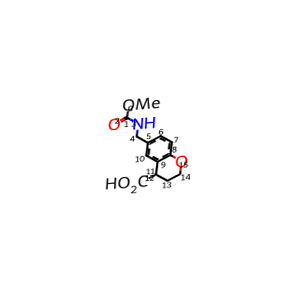 COC(=O)NCc1ccc2c(c1)C(C(=O)O)CCO2